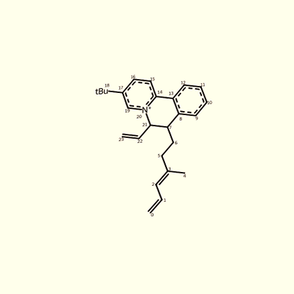 C=C/C=C(\C)CCC1c2ccccc2-c2ccc(C(C)(C)C)c[n+]2C1C=C